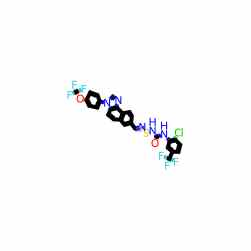 O=C(NS/N=C/c1ccc2c(ccc3c2ncn3-c2ccc(OC(F)(F)F)cc2)c1)Nc1cc(C(F)(F)F)ccc1Cl